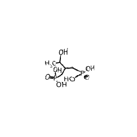 CC(O)C(CP(=O)(O)O)CP(=O)(O)O